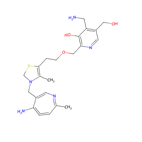 CC1=NC=C(CN2CSC(CCOCc3ncc(CO)c(CN)c3O)=C2C)C(N)=C=C1